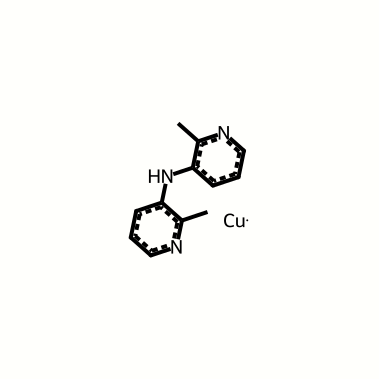 Cc1ncccc1Nc1cccnc1C.[Cu]